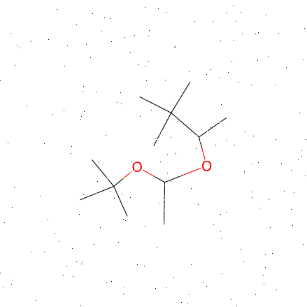 CC(OC(C)C(C)(C)C)OC(C)(C)C